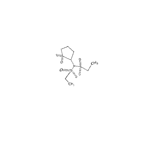 CCS(=O)(=O)N(C1CCCS1(=O)=O)S(=O)(=O)CC